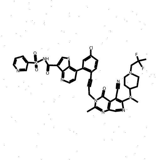 Cc1nc2cnc(N(C)C3CCN(CC(C)(F)F)CC3)c(C#N)c2c(=O)n1CC#Cc1ccc(Cl)cc1-c1ccnc2c(C(=O)NS(=O)(=O)c3cccnc3)csc12